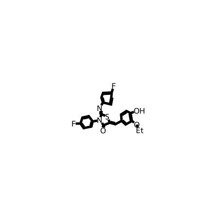 CCOc1cc(/C=C2\S/C(=N\c3ccc(F)cc3)N(c3ccc(F)cc3)C2=O)ccc1O